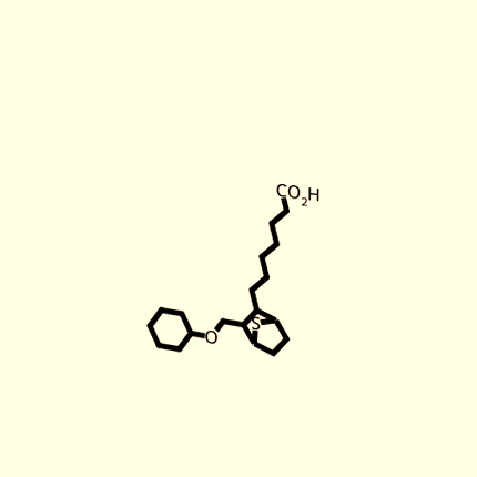 O=C(O)CCCCCCC1C2CCC(S2)C1COC1CCCCC1